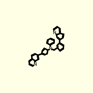 C1=CC(N(Cc2cccc(-c3ccc4cccnc4c3)c2)c2ccccc2)CC=C1c1ccc2cccnc2c1